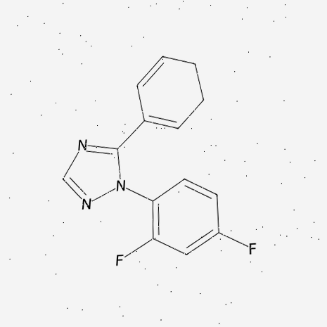 Fc1ccc(-n2ncnc2C2=CCCC=C2)c(F)c1